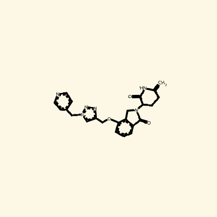 C=C1CCC(N2Cc3c(OCc4cn(Cc5ccncc5)nn4)cccc3C2=O)C(=O)N1